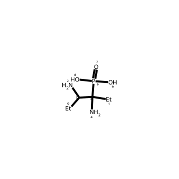 CCC(N)C(N)(CC)P(=O)(O)O